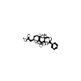 COC(=O)CC1CC[C@@H]2O[C@H]3COC(c4ccccc4)O[C@H]3C(=O)[C@H]2O1